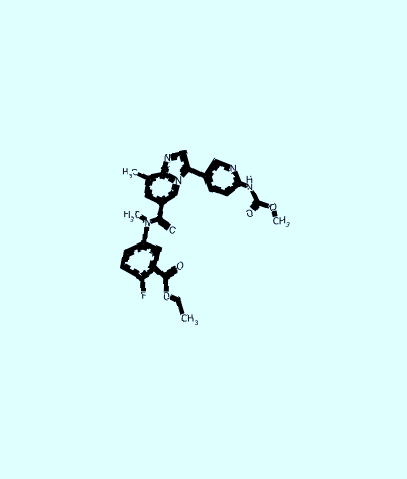 CCOC(=O)c1cc(N(C)C(=O)c2cc(C)c3ncc(-c4ccc(NC(=O)OC)nc4)n3c2)ccc1F